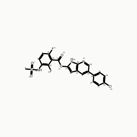 CS(=O)(=O)Nc1ccc(F)c(C(=O)Oc2cc3cc(-c4ccc(Cl)cc4)cnc3[nH]2)c1F